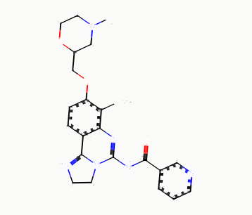 COc1c(OCC2CN(C)CCO2)ccc2c1N=C(NC(=O)c1cccnc1)N1CCN=C21